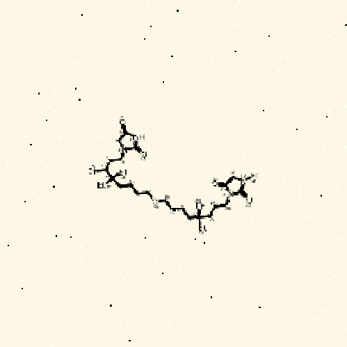 CCC(CCN1CC(=O)NC1=O)C(CC)(CC)CCCCOCCCCC(CC)(CC)CCCN1C(=O)CN(CC)C1=O